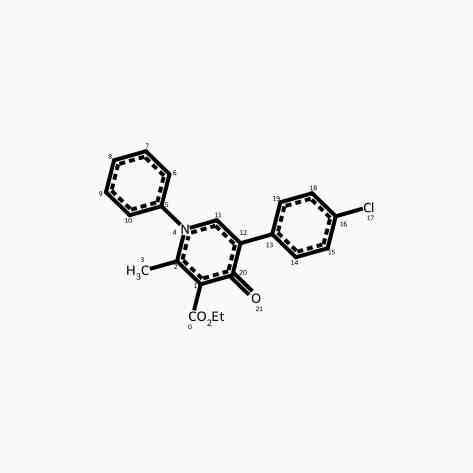 CCOC(=O)c1c(C)n(-c2ccccc2)cc(-c2ccc(Cl)cc2)c1=O